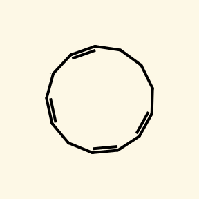 [CH]1C=CCC=CC=CCCCC=C1